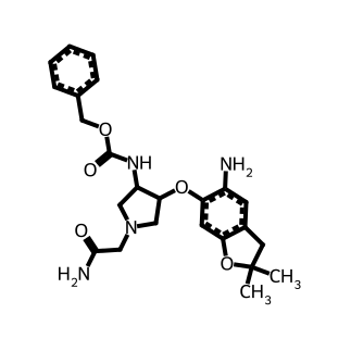 CC1(C)Cc2cc(N)c(OC3CN(CC(N)=O)CC3NC(=O)OCc3ccccc3)cc2O1